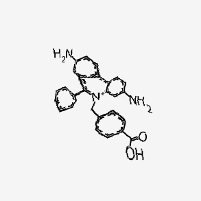 Nc1ccc2c(c1)c(-c1ccccc1)[n+](Cc1ccc(C(=O)O)cc1)c1cc(N)ccc21